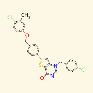 Cc1cc(OCc2ccc(-c3cc4c(s3)c(=O)ncn4Cc3ccc(Cl)cc3)cc2)ccc1Cl